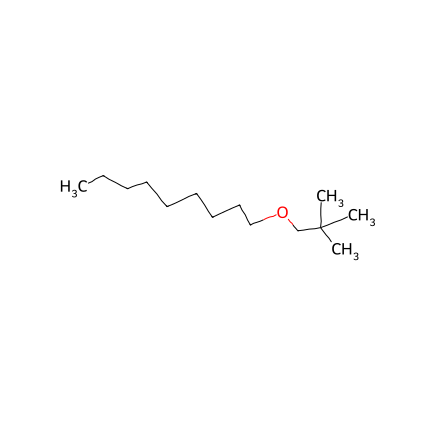 CCCCCCCCCOCC(C)(C)C